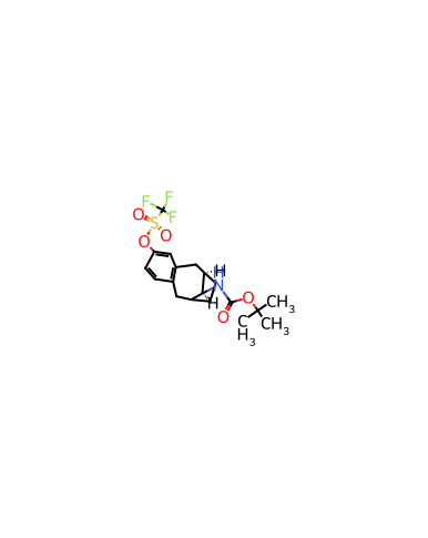 CC(C)(C)OC(=O)N[C@H]1C2CC[C@@H]1Cc1cc(OS(=O)(=O)C(F)(F)F)ccc1C2